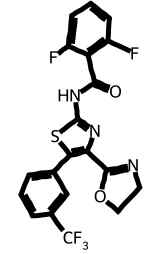 O=C(Nc1nc(C2=NCCO2)c(-c2cccc(C(F)(F)F)c2)s1)c1c(F)cccc1F